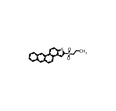 CCCS(=O)(=O)c1cc2c(ccc3c4cc5ccccc5cc4ccc23)s1